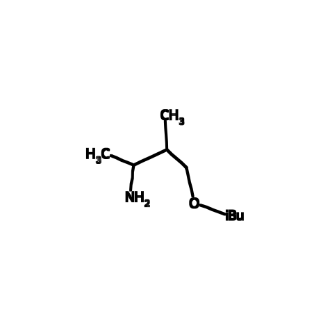 CCC(C)OCC(C)C(C)N